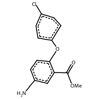 COC(=O)c1cc(N)ccc1Oc1ccc(Cl)cc1